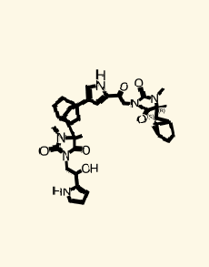 CN1C(=O)N(CC(O)c2ccc[nH]2)C(=O)C1(C)C1CC2(c3c[nH]c(C(=O)CN4C(=O)N(C)[C@](C)([C@H]5CC6CCC5C6)C4=O)c3)CCC1CC2